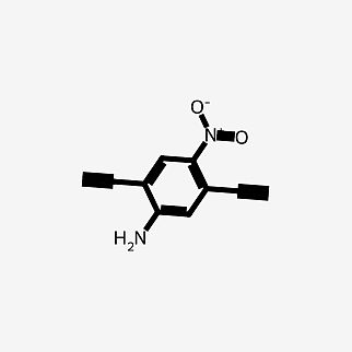 C#Cc1cc([N+](=O)[O-])c(C#C)cc1N